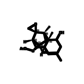 CC(=O)OO[C@]1(OC(C)=O)C[C@@]2(C)[C@]3(CO3)[C@@H]1O[C@@H]1C=C(C)CC(O)[C@@]12C